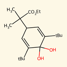 CCOC(=O)C(C)(C)C1C=C(C(C)(C)C)C(O)(O)C(C(C)(C)C)=C1